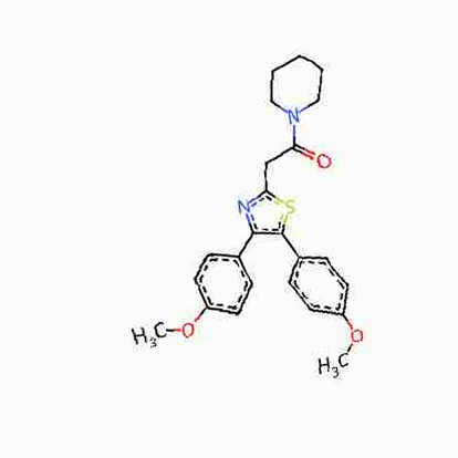 COc1ccc(-c2nc(CC(=O)N3CCCCC3)sc2-c2ccc(OC)cc2)cc1